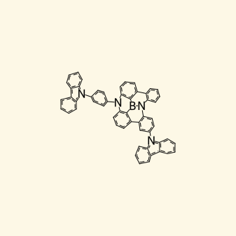 c1ccc2c(c1)-c1cccc3c1B1c4c(cccc4N3c3ccc(-n4c5ccccc5c5ccccc54)cc3)-c3cc(-n4c5ccccc5c5ccccc54)ccc3N12